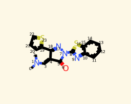 CN(C)C=C1C(=O)N(c2nc3ccccc3s2)N=C1c1cccs1